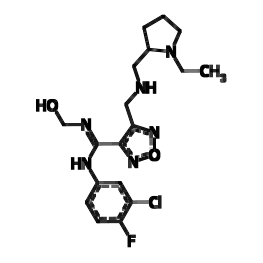 CCN1CCCC1CNCc1nonc1/C(=N/CO)Nc1ccc(F)c(Cl)c1